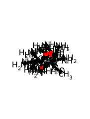 CC(=O)NCCOCC(=O)N[C@@H](Cc1ccc(C(C)=O)cc1)C(=O)N[C@H](CCCNC(=N)N)C(=O)N[C@H](CCCNC(=N)N)C(=O)N[C@H](CCCNC(=N)N)C(=O)N[C@H](CCCNC(=N)N)C(=O)N[C@H](CCCNC(=N)N)C(=O)N[C@H](CCCNC(=N)N)C(=O)N[C@H](CCCNC(=N)N)C(=O)N[C@H](CCCNC(=N)N)C(=O)N[C@H](CS)C(N)=O